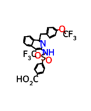 O=C(O)c1ccc(S(=O)(=O)Nc2nc(Cc3ccc(OC(F)(F)F)cc3)c3ccccc3c2C(F)(F)F)cc1